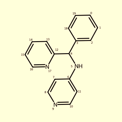 c1ccc(C(Nc2ccncc2)c2ccccn2)cc1